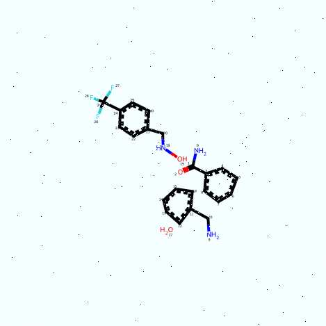 NC(=O)c1ccccc1.NCc1ccccc1.O.ONCc1ccc(C(F)(F)F)cc1